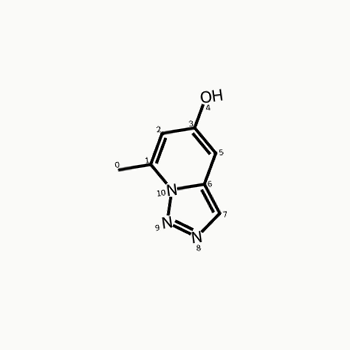 Cc1cc(O)cc2cnnn12